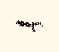 CCOC(=O)/C(=C/N=C\I)NCc1ccc(-c2ccc(C(F)(F)F)cc2)cc1